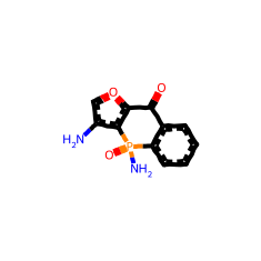 Nc1coc2c1P(N)(=O)c1ccccc1C2=O